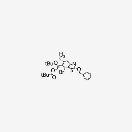 Cc1cc2nc(OCc3ccccc3)sc2c(Br)c1[C@@H](COC(=O)C(C)(C)C)OC(C)(C)C